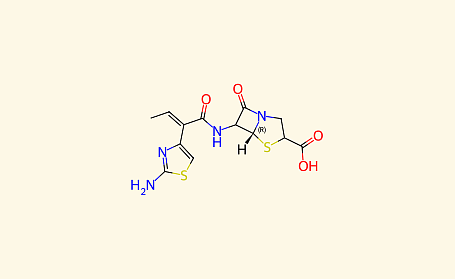 CC=C(C(=O)NC1C(=O)N2CC(C(=O)O)S[C@H]12)c1csc(N)n1